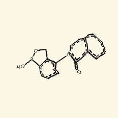 O=c1c2ccccc2ccn1-c1cccc2c1COB2O